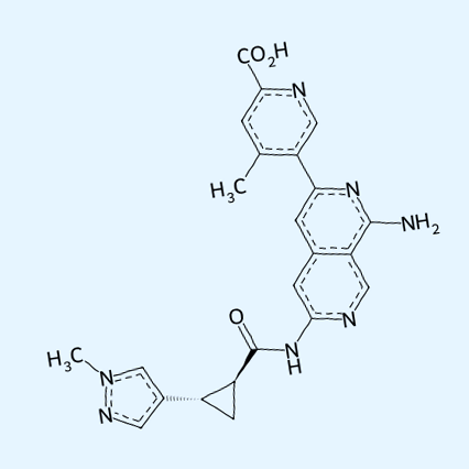 Cc1cc(C(=O)O)ncc1-c1cc2cc(NC(=O)[C@H]3C[C@@H]3c3cnn(C)c3)ncc2c(N)n1